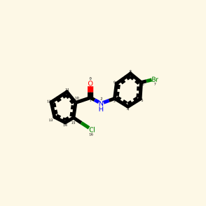 O=C(Nc1ccc(Br)cc1)c1[c]cccc1Cl